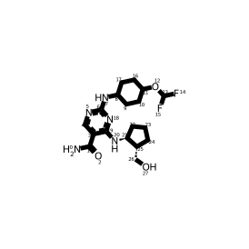 NC(=O)c1cnc(NC2CCC(OC(F)F)CC2)nc1N[C@@H]1CCC[C@@H]1CO